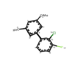 COc1cc(OC)cc(-c2cc[c]c(F)c2Cl)c1